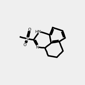 CS(=O)(=O)C1=NC2CCCc3cccc(c32)N1